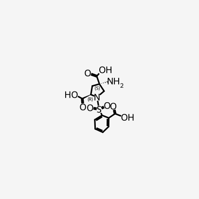 N[C@@]1(C(=O)O)C[C@H](C(=O)O)N(S(=O)(=O)c2ccccc2C(=O)O)C1